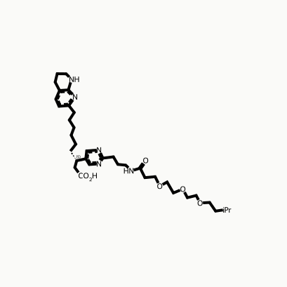 CC(C)CCOCCOCCOCCC(=O)NCCCc1ncc([C@@H](CCCCCCc2ccc3c(n2)NCCC3)CC(=O)O)cn1